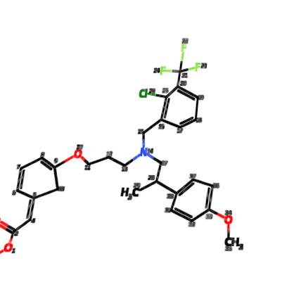 COC(=O)C=C1C=CC=C(OCCCN(Cc2cccc(C(F)(F)F)c2Cl)CC(C)c2ccc(OC)cc2)C1